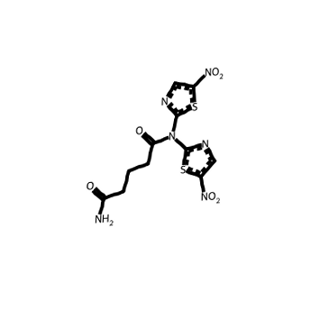 NC(=O)CCCC(=O)N(c1ncc([N+](=O)[O-])s1)c1ncc([N+](=O)[O-])s1